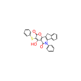 O=c1oc2c3c(n(-c4ccccc4)c(=O)c2c(O)c1Sc1ccccc1)-c1ccccc1C3